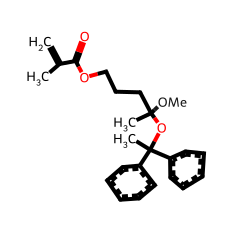 C=C(C)C(=O)OCCCC(C)(OC)OC(C)(c1ccccc1)c1ccccc1